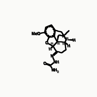 COc1ccc2c3c1O[C@H]1C(=NNC(N)=O)CC[C@H]4[C@@H](C2)N(C)CC[C@]314